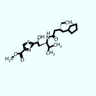 CC[C@@H](CC(=O)N[C@H](C[C@@H](O)c1nc(C(=O)OC)cs1)C(C)C)CC1CCCC1